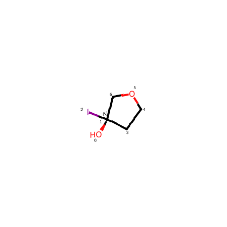 O[C@]1(I)CCOC1